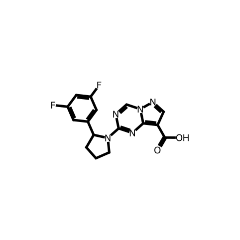 O=C(O)c1cnn2cnc(N3CCCC3c3cc(F)cc(F)c3)nc12